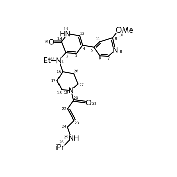 CCN(c1cc(-c2ccnc(OC)c2)c[nH]c1=O)C1CCN(C(=O)C=CCNC(C)C)CC1